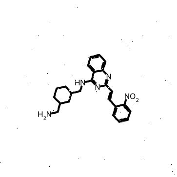 NCC1CCCC(CNc2nc(/C=C/c3ccccc3[N+](=O)[O-])nc3ccccc23)C1